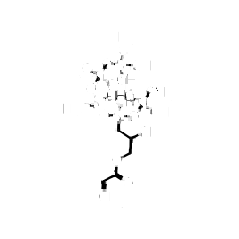 C=CC(=O)OCC(C)C[Si](C)(O[Si](C)(C)C)O[Si](C)(C)O[Si](C)(C)O[Si](C)(C)C